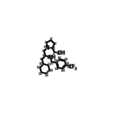 OCC1CCCN1CC(CC1CCCCC1)NCc1ccc(C(F)(F)F)cc1